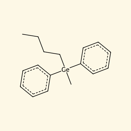 CCC[CH2][Ge]([CH3])([c]1ccccc1)[c]1ccccc1